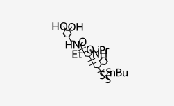 CCCCSC(=S)SC(C)(C)C(CC(C)(C)C(C)(C)C(CC(C)(CC)C(C)(C)C(=O)NCCc1ccc(O)c(O)c1)C(=O)NC(C)C)c1ccccc1